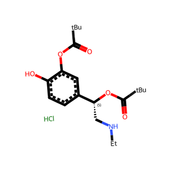 CCNC[C@@H](OC(=O)C(C)(C)C)c1ccc(O)c(OC(=O)C(C)(C)C)c1.Cl